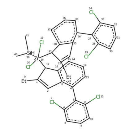 CCC1=Cc2c(-c3c(Cl)cccc3Cl)cccc2[CH]1[Zr]([Cl])([Cl])([CH]1C(CC)=Cc2c(-c3c(Cl)cccc3Cl)cccc21)[SiH](C)C